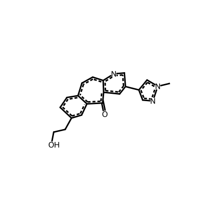 Cn1cc(-c2cnc3ccc4ccc(CCO)cc4c(=O)c3c2)cn1